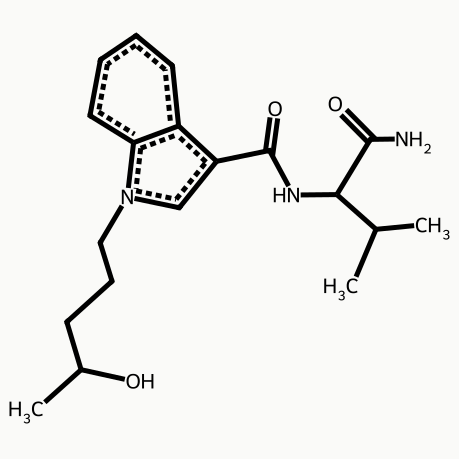 CC(O)CCCn1cc(C(=O)NC(C(N)=O)C(C)C)c2ccccc21